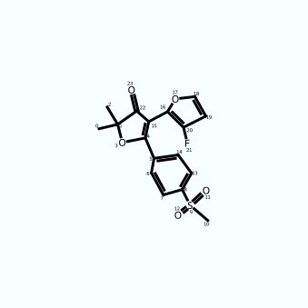 CC1(C)OC(c2ccc(S(C)(=O)=O)cc2)=C(c2occc2F)C1=O